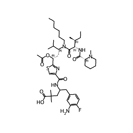 CCCCCCN(C(=O)[C@@H](NC(=O)[C@H]1CCCCN1C)[C@@H](C)CC)[C@H](C[C@@H](OC(C)=O)c1nc(C(=O)NC(Cc2ccc(F)c(N)c2)CC(C)(C)C(=O)O)cs1)C(C)C